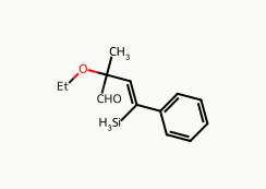 CCOC(C)(C=O)C=C([SiH3])c1ccccc1